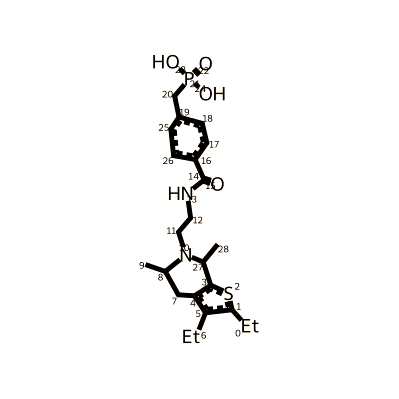 CCc1sc2c(c1CC)CC(C)N(CCNC(=O)c1ccc(CP(=O)(O)O)cc1)C2C